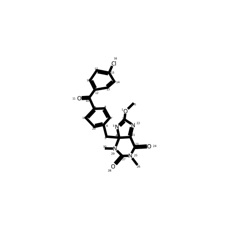 COC1=NC2(Cc3ccc(C(=O)c4ccc(Cl)cc4)cc3)C(=N1)C(=O)N(C)C(=O)N2C